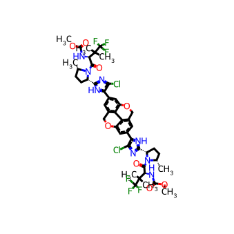 COC(=O)N[C@H](C(=O)N1[C@@H](C)CC[C@H]1c1nc(Cl)c(-c2cc3c4c(c2)OCc2cc(-c5[nH]c([C@@H]6CC[C@H](C)N6C(=O)[C@@H](NC(=O)OC)C(C)(C)C(F)(F)F)nc5Cl)cc(c2-4)OC3)[nH]1)C(C)(C)C(F)(F)F